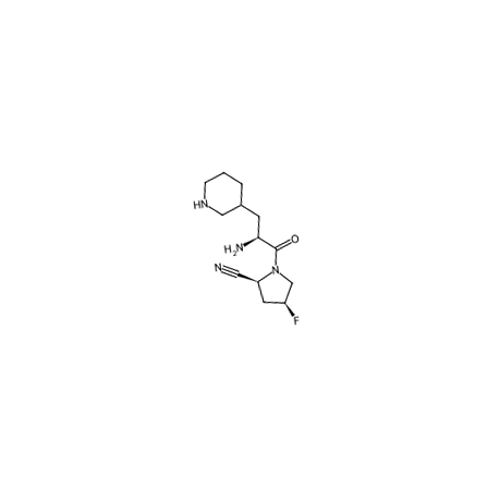 N#C[C@@H]1C[C@H](F)CN1C(=O)[C@@H](N)CC1CCCNC1